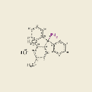 Cc1ccc(C(P)(c2ccccc2)c2ccccc2)c(C)c1C